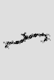 C=CC(=O)OCC(C)OC(=O)CCC(=O)OCCc1ccc(OC(=O)[C@H]2CC[C@H](C(=O)Oc3ccc(OC(=O)[C@H]4CC[C@H](C(=O)Oc5ccc(CCOC(=O)CCC(=O)OCC(C)OCC(C)OC(=O)C=C)cc5)CC4)c4c3SC(=C(C#N)C#N)N4)CC2)cc1